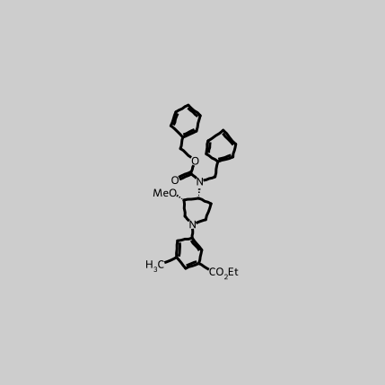 CCOC(=O)c1cc(C)cc(N2CC[C@@H](N(Cc3ccccc3)C(=O)OCc3ccccc3)[C@@H](OC)C2)c1